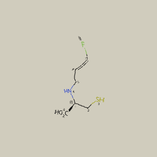 O=C(O)[C@H](CS)NCC=CF